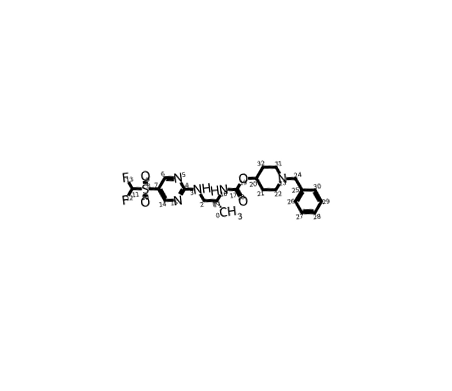 C[C@H](CNc1ncc(S(=O)(=O)C(F)F)cn1)NC(=O)OC1CCN(Cc2ccccc2)CC1